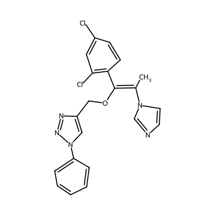 C/C(=C(/OCc1cn(-c2ccccc2)nn1)c1ccc(Cl)cc1Cl)n1ccnc1